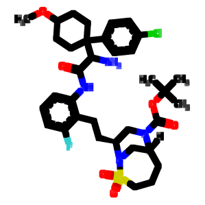 COC1CCC(c2ccc(Cl)cc2)(C(N)C(=O)Nc2cccc(F)c2CC[C@H]2CN(C(=O)OC(C)(C)C)[C@@H]3CCCS(=O)(=O)N2C3)CC1